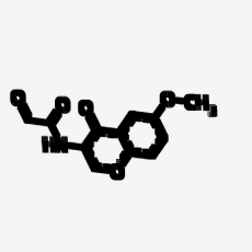 COc1ccc2occ(NC(=O)C=O)c(=O)c2c1